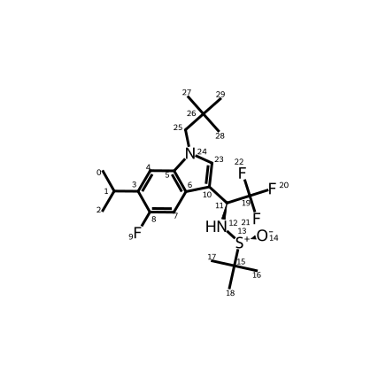 CC(C)c1cc2c(cc1F)c([C@H](N[S@@+]([O-])C(C)(C)C)C(F)(F)F)cn2CC(C)(C)C